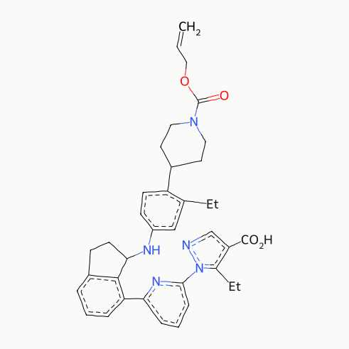 C=CCOC(=O)N1CCC(c2ccc(NC3CCc4cccc(-c5cccc(-n6ncc(C(=O)O)c6CC)n5)c43)cc2CC)CC1